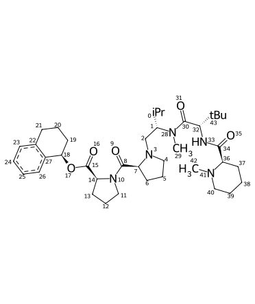 CC(C)[C@@H](CN1CCC[C@H]1C(=O)N1CCC[C@H]1C(=O)O[C@@H]1CCCc2ccccc21)N(C)C(=O)[C@@H](NC(=O)[C@H]1CCCCN1C)C(C)(C)C